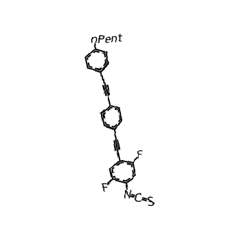 CCCCCc1ccc(C#Cc2ccc(C#Cc3cc(F)c(N=C=S)cc3F)cc2)cc1